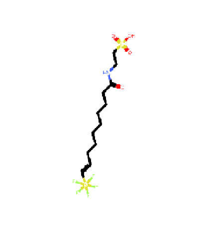 O=C(CCCCCCC/C=C/S(F)(F)(F)(F)F)NCCS(=O)(=O)O